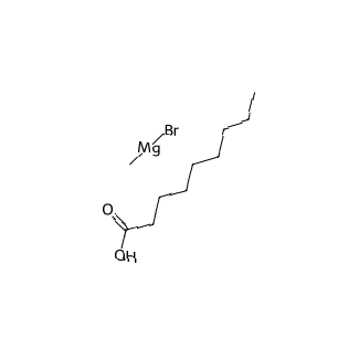 CCCCCCCCC(=O)O.[CH3][Mg][Br]